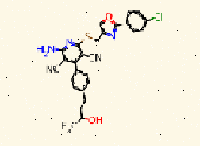 N#Cc1c(N)nc(SCc2coc(-c3ccc(Cl)cc3)n2)c(C#N)c1-c1ccc(CCC(O)C(F)(F)F)cc1